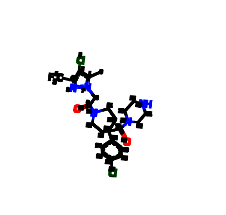 Cc1c(Cl)c(C(F)(F)F)nn1CC(=O)N1CCC(C(=O)N2CCNCC2)(c2ccc(Cl)cc2)CC1